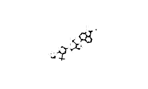 O=C=c1[nH]c2ccc(-n3ncc(C(=O)Nc4cnc(-n5ccnn5)c(C(F)(F)F)c4)c3C(F)(F)F)c3cccc1c23